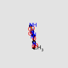 CC1(OC(=O)N2CCC(COc3cnc(N4CCN(S(=O)(=O)C5CCNC5)CC4=O)cn3)CC2)CC1